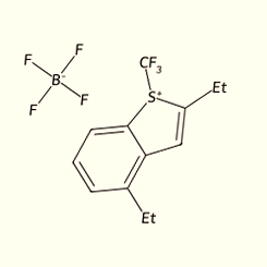 CCc1cccc2c1cc(CC)[s+]2C(F)(F)F.F[B-](F)(F)F